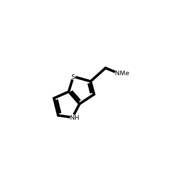 CNCc1cc2[nH]ccc2s1